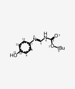 CC(C)(C)OC(=O)NC=Nc1ccc(O)cc1